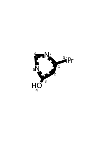 CC(C)c1cc(O)ncn1